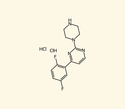 Cl.Cl.Fc1ccc(F)c(-c2ccnc(N3CCNCC3)n2)c1